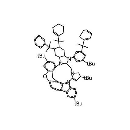 CC(C)(C)c1cc(N2C3CC(C(C)(C)C4=CCCCC4)C(C(C)(C)c4ccccc4)CC3N3c4cc(C(C)(C)C)cc5c4Cc4c(ccc6c7cc(C(C)(C)C)ccc7n(c46)C4=CC(C(C)(C)C)CN4CC23)O5)cc(C(C)(C)C2=CC=CCC2)c1